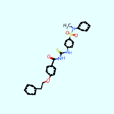 CN(c1ccccc1)S(=O)(=O)c1ccc(NC(=S)NC(=O)c2ccc(OCCc3ccccc3)cc2)cc1